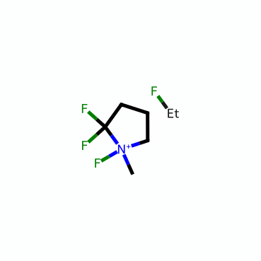 CCF.C[N+]1(F)CCCC1(F)F